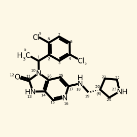 CC(c1cc(Cl)ccc1Cl)n1c(=O)[nH]c2cnc(NC[C@@H]3CCNC3)cc21